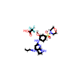 CCCNc1cc(Nc2ccc(S(=O)(=O)N3CCOCC3)cc2OC)nc2[nH]ccc12.O=C(O)C(F)(F)F